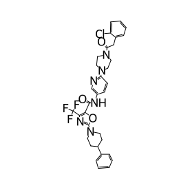 O=C(Nc1ccc(N2CCN(C(=O)Cc3ccccc3Cl)CC2)nc1)c1oc(N2CCC(c3ccccc3)CC2)nc1C(F)(F)F